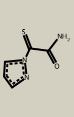 NC(=O)C(=S)n1cccn1